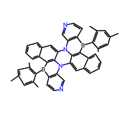 Cc1cc(C)c(B2c3ccncc3N3c4cc5ccccc5c5c4N(c4cnccc4B5c4c(C)cc(C)cc4C)c4cc5ccccc5c2c43)c(C)c1